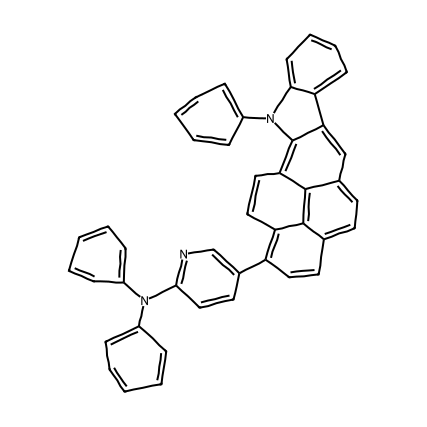 c1ccc(N(c2ccccc2)c2ccc(-c3ccc4ccc5cc6c7ccccc7n(-c7ccccc7)c6c6ccc3c4c56)cn2)cc1